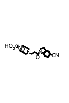 N#Cc1ccc2c(c1)CCN2C(=O)CCN1CC2CN(C(=O)O)CC(C1)O2